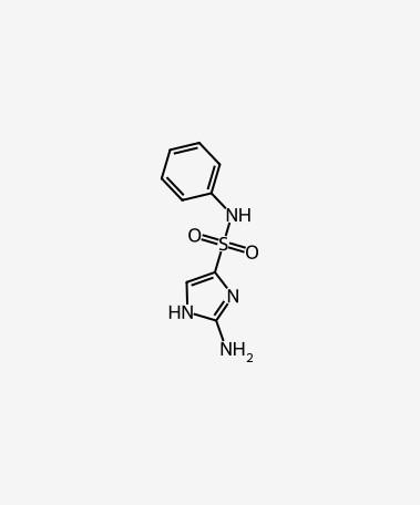 Nc1nc(S(=O)(=O)Nc2ccccc2)c[nH]1